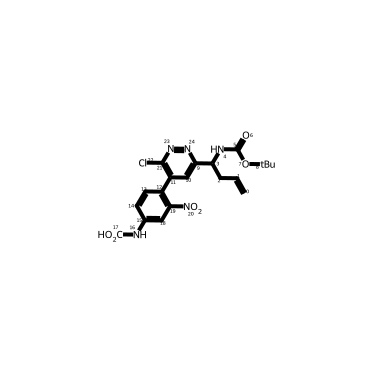 C=CCC(NC(=O)OC(C)(C)C)c1cc(-c2ccc(NC(=O)O)cc2[N+](=O)[O-])c(Cl)nn1